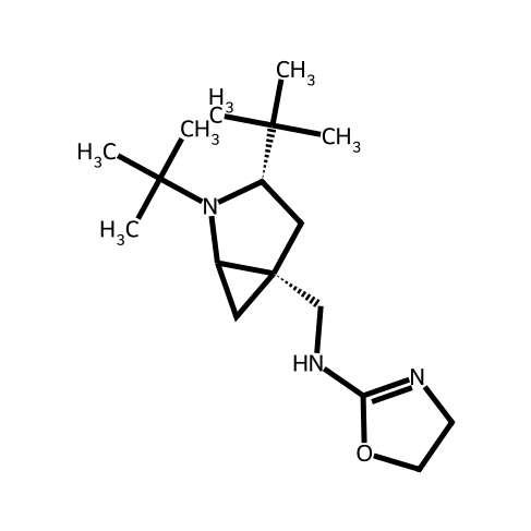 CC(C)(C)[C@@H]1C[C@@]2(CNC3=NCCO3)CC2N1C(C)(C)C